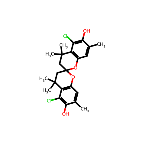 Cc1cc2c(c(Cl)c1O)C(C)(C)CC1(CC(C)(C)c3c(cc(C)c(O)c3Cl)O1)O2